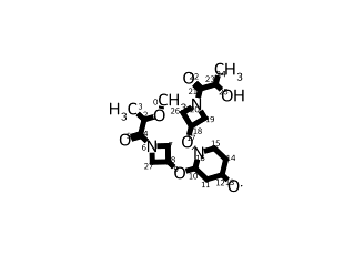 COC(C)C(=O)N1CC(OC2CC([O])CCN2OC2CN(C(=O)C(C)O)C2)C1